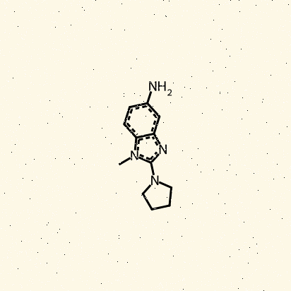 Cn1c(N2CCCC2)nc2cc(N)ccc21